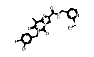 CCOc1cc(CNC(=O)c2cn3c(=O)n(Cc4ccc(F)c(Br)c4)c(=O)c(C)c3s2)ccn1